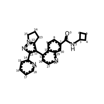 O=C(NC1CCC1)c1ccc2c(-c3c(-c4ccccn4)nn4c3CCC4)ccnc2c1